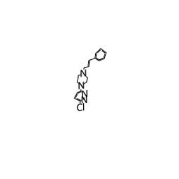 Clc1ccc(N2CCN(C/C=C/c3ccccc3)CC2)nn1